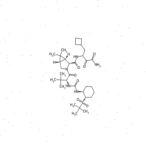 CC(C)(C)[C@H](NC(=O)N[C@H]1CCCC[C@H]1S(=O)(=O)C(C)(C)C)C(=O)N1C[C@H]2[C@@H]([C@H]1C(=O)NC(CC1CCC1)C(=O)C(N)=O)C2(C)C